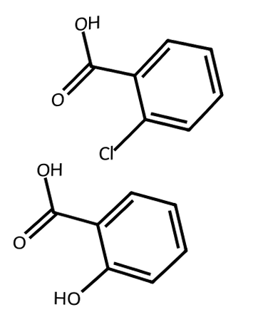 O=C(O)c1ccccc1Cl.O=C(O)c1ccccc1O